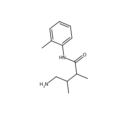 Cc1ccccc1NC(=O)C(C)C(C)CN